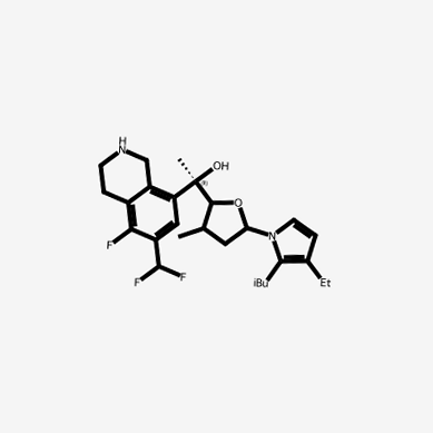 CCc1ccn(C2CC(C)C([C@](C)(O)c3cc(C(F)F)c(F)c4c3CNCC4)O2)c1C(C)CC